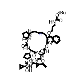 C=CC1C[C@]1(NC(=O)[C@@H]1C[C@@H]2CN1C(=O)[C@H](C1CCCC1)NC(=O)O[C@@H]1CCC[C@H]1CC/C=C/Cc1c(nc3ccccc3c1OCCCNC(=O)OC(C)(C)C)O2)C(=O)NS(=O)(=O)C1CC1